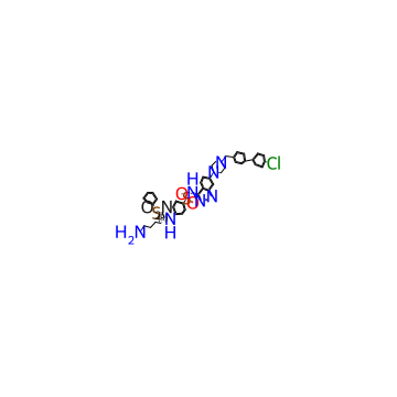 NCCCC[C@H](CSc1ccccc1)Nc1ccc(S(=O)(=O)Nc2ncnc3cc(N4CCN(Cc5ccc(-c6ccc(Cl)cc6)cc5)CC4)ccc23)cc1[N+](=O)[O-]